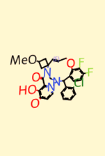 COC1CC2(/C=C/COc3c(ccc(F)c3F)C(c3ccccc3Cl)N3CN2C(=O)c2c(O)c(=O)ccn23)C1